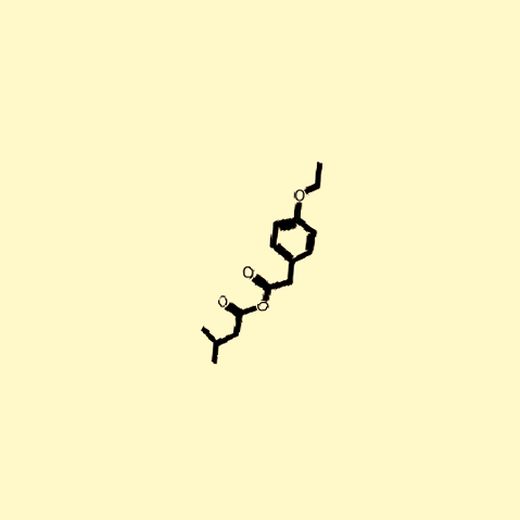 CCOc1ccc(CC(=O)OC(=O)CC(C)C)cc1